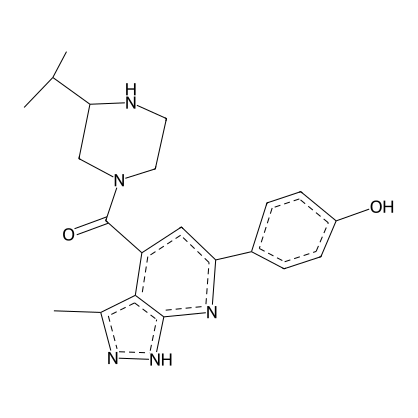 Cc1n[nH]c2nc(-c3ccc(O)cc3)cc(C(=O)N3CCNC(C(C)C)C3)c12